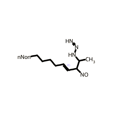 CCCCCCCCCCCCC/C=C/C(N=O)C(C)NN=N